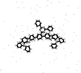 c1ccc(-c2nc(-c3ccccc3)nc(-c3cc(-c4ccc5c(c4)sc4c5ccc5c6ccccc6n(-c6ccccc6)c54)ccc3-c3ccc4c(c3)sc3c4ccc4c5ccccc5n(-c5ccccc5)c43)n2)cc1